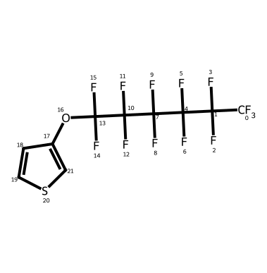 FC(F)(F)C(F)(F)C(F)(F)C(F)(F)C(F)(F)C(F)(F)Oc1ccsc1